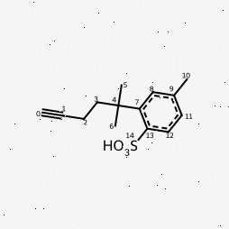 C#CCCC(C)(C)c1cc(C)ccc1S(=O)(=O)O